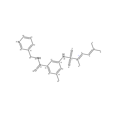 CC(C)=C/C=C(\C)S(=O)(=O)Nc1cc(C)cc(C(=O)NCc2cccnc2)c1